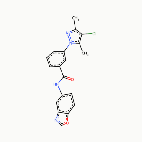 Cc1nn(-c2cccc(C(=O)Nc3ccc4ocnc4c3)c2)c(C)c1Cl